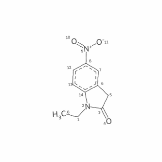 CCN1C(=O)Cc2cc([N+](=O)[O-])ccc21